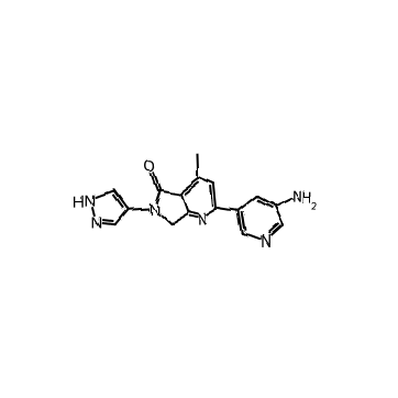 Cc1cc(-c2cncc(N)c2)nc2c1C(=O)N(c1cn[nH]c1)C2